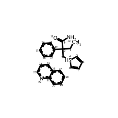 CCC(C[SH]1C=CC=C1)(C(N)=O)c1ccccc1.c1ccc2ncccc2c1